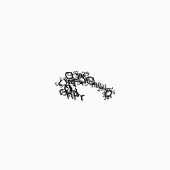 CCCC(=O)Oc1ccccc1NC(=O)c1ccc(OCCCCc2ccccc2)c(C)c1C